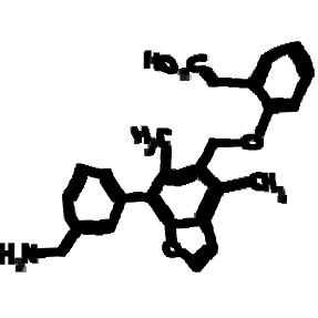 Cc1c(COc2ccccc2CC(=O)O)c(C)c2ccoc2c1-c1cccc(CN)c1